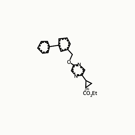 CCOC(=O)[C@H]1CC1c1cnc(OCc2cccc(-c3ccccc3)c2)cn1